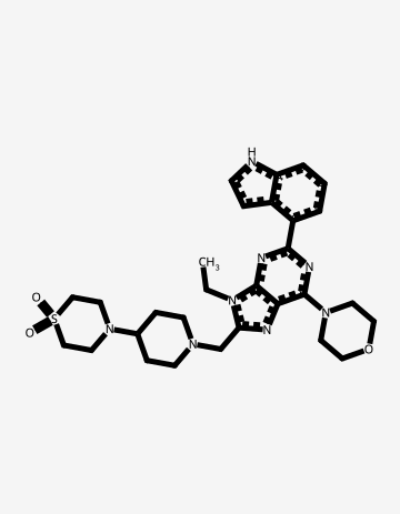 CCn1c(CN2CCC(N3CCS(=O)(=O)CC3)CC2)nc2c(N3CCOCC3)nc(-c3cccc4[nH]ccc34)nc21